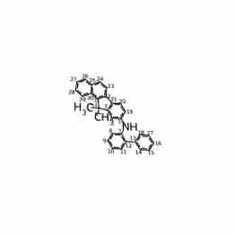 CC1(C)c2cc(Nc3ccccc3-c3ccccc3)ccc2-c2ccc3ccccc3c21